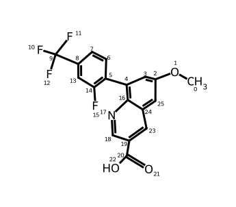 COc1cc(-c2ccc(C(F)(F)F)cc2F)c2ncc(C(=O)O)cc2c1